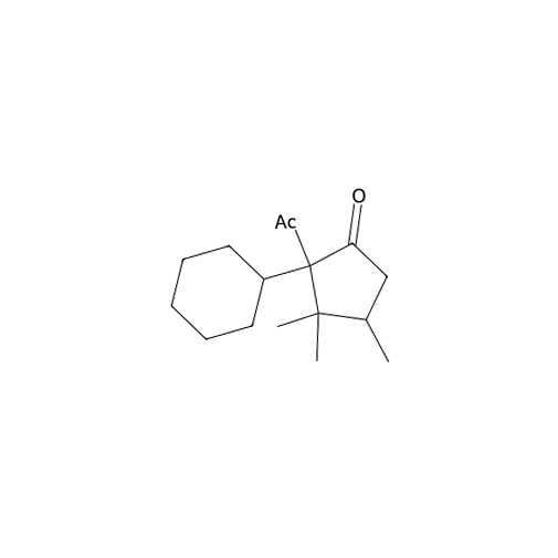 CC(=O)C1(C2CCCCC2)C(=O)CC(C)C1(C)C